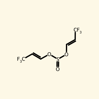 O=S(OC=CC(F)(F)F)OC=CC(F)(F)F